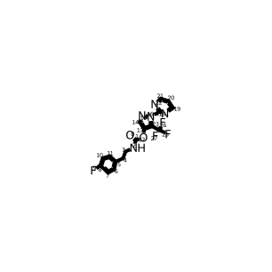 O=C(NCCc1ccc(F)cc1)Oc1cnn(-c2ncccn2)c1C(F)(F)F